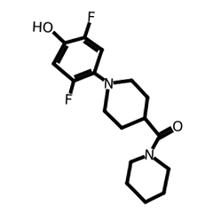 O=C(C1CCN(c2cc(F)c(O)cc2F)CC1)N1CCCCC1